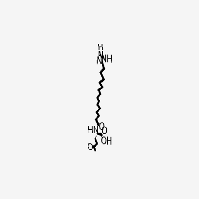 CC(=O)CC[C@H](NC(=O)CCCCCCCCCCCCCCc1n[nH][nH]1)C(=O)O